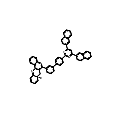 C1=CC2=Nc3c(c(-c4cccc(-c5ccc(-c6nc(-c7ccc8ccccc8c7)cc(-c7ccc8ccccc8c7)n6)cc5)c4)nc4ccccc34)C[C@@H]2C=C1